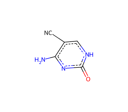 N#Cc1c[nH]c(=O)nc1N